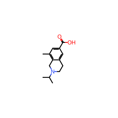 Cc1cc(C(=O)O)cc2c1CN(C(C)C)CC2